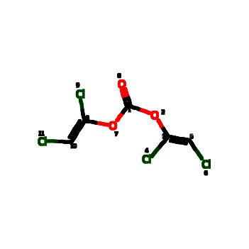 O=C(OC(Cl)=CCl)OC(Cl)=CCl